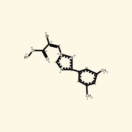 Cc1cc(C)cc(-c2ncn(/C=C(/Br)C(=O)OC(C)C)n2)c1